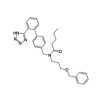 CCCCC(=O)N(CCCOCc1ccccc1)Cc1ccc(-c2ccccc2-c2nnn[nH]2)cc1